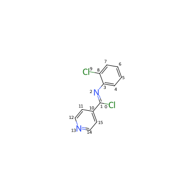 Cl/C(=N\c1ccccc1Cl)c1ccncc1